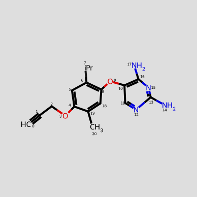 C#CCOc1cc(C(C)C)c(Oc2cnc(N)nc2N)cc1C